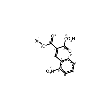 CCC(C)OC(=O)C(=Cc1ccccc1[N+](=O)[O-])C(=O)C(=O)O